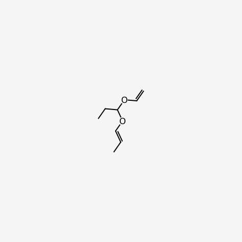 C=COC(CC)OC=CC